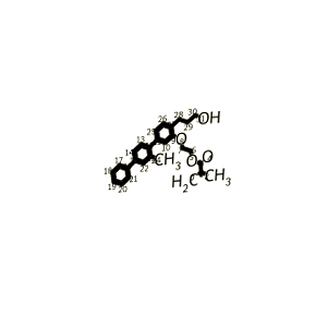 C=C(C)C(=O)OCCOc1cc(-c2ccc(-c3ccccc3)cc2C)ccc1CCCO